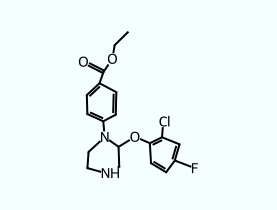 CCOC(=O)c1ccc(N2CCNCC2Oc2ccc(F)cc2Cl)cc1